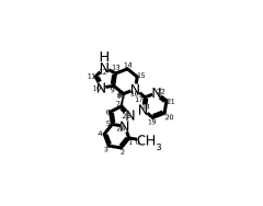 Cc1cccc2cc([C@H]3c4nc[nH]c4CCN3c3ncccn3)nn12